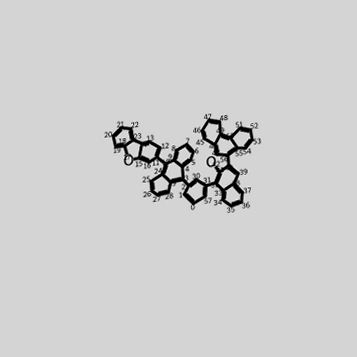 c1cc(-c2c3ccccc3c(-c3ccc4c(c3)oc3ccccc34)c3ccccc23)cc(-c2c3ccccc3cc3c2oc2c4ccccc4c4ccccc4c32)c1